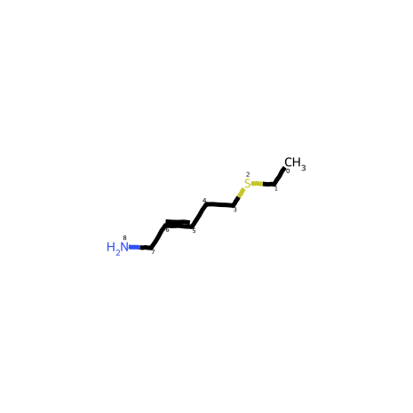 CCSCCC=CCN